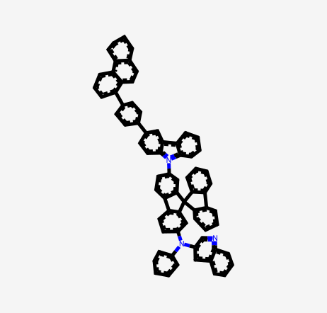 c1ccc(N(c2ccc3c(c2)C2(c4ccccc4-c4ccccc42)c2cc(-n4c5ccccc5c5cc(-c6ccc(-c7cccc8c7ccc7ccccc78)cc6)ccc54)ccc2-3)c2cnc3ccccc3c2)cc1